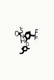 CCc1ccc(OCc2cc(C(F)F)ccc2NC(=O)SC)c(C)c1